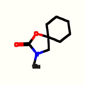 CC(C)(C)N1CC2(CCCCC2)OC1=O